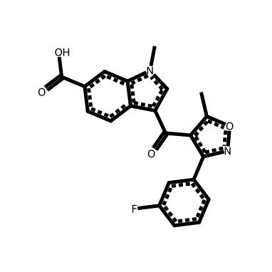 Cc1onc(-c2cccc(F)c2)c1C(=O)c1cn(C)c2cc(C(=O)O)ccc12